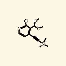 COC(OC)c1c(C#C[Si](C)(C)C)ccnc1Cl